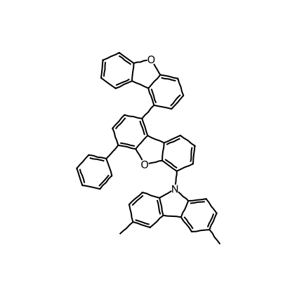 Cc1ccc2c(c1)c1cc(C)ccc1n2-c1cccc2c1oc1c(-c3ccccc3)ccc(-c3cccc4oc5ccccc5c34)c12